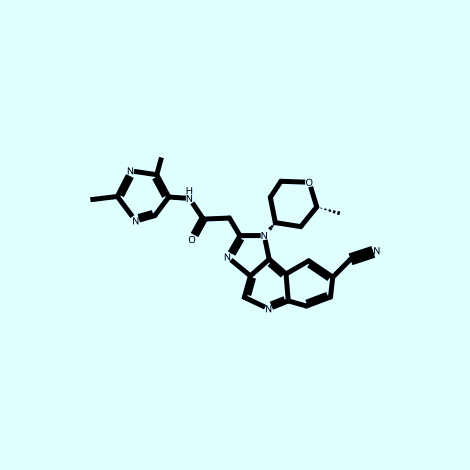 Cc1ncc(NC(=O)Cc2nc3cnc4ccc(C#N)cc4c3n2[C@@H]2CCO[C@H](C)C2)c(C)n1